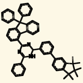 CC1(C)c2ccc(-c3cccc(C4N=C(c5cccc6c5-c5ccccc5C6(c5ccccc5)c5ccccc5)N=C(c5ccccc5)N4)c3)cc2C(C)(C)C1(C)C